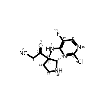 N#CCC(=O)[C@@]1(Nc2nc(Cl)ncc2F)CCNC1